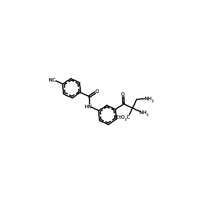 CCOC(=O)C(N)(CN)C(=O)c1cccc(NC(=O)c2ccc(C#N)cc2)c1